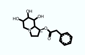 O=C(Cc1ccccc1)O[C@H]1CCN2CC(O)C(O)C(O)C12